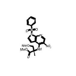 COC[C@](C)(Nc1c([N+](=O)[O-])cnc2c1ccn2S(=O)(=O)c1ccccc1)C(=O)OC